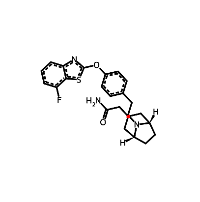 NC(=O)CC1C[C@H]2CC[C@@H](C1)N2CCc1ccc(Oc2nc3cccc(F)c3s2)cc1